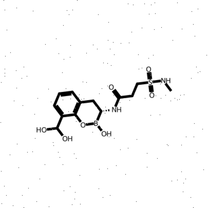 CNS(=O)(=O)CCC(=O)N[C@H]1Cc2cccc(C(O)O)c2OB1O